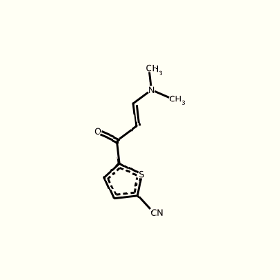 CN(C)C=CC(=O)c1ccc(C#N)s1